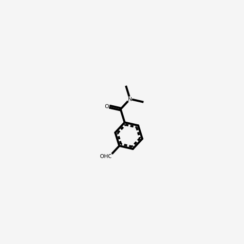 CN(C)C(=O)c1cccc(C=O)c1